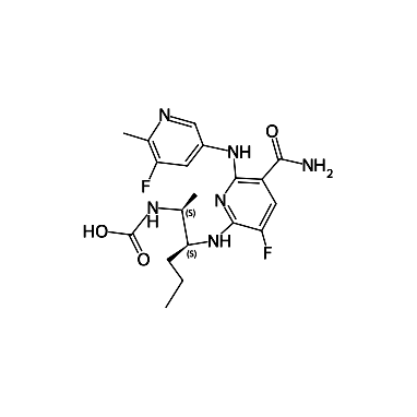 CCC[C@H](Nc1nc(Nc2cnc(C)c(F)c2)c(C(N)=O)cc1F)[C@H](C)NC(=O)O